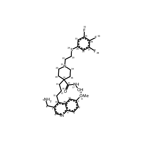 COc1ccc2ncc(CN)c(CCCC3(C(=O)NO)CCN(CCSc4cc(F)c(F)c(F)c4)CC3)c2c1